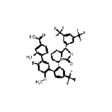 COc1cc(F)c(-c2ccc(C(=O)O)cc2C)cc1-c1ccc(C(F)(F)F)cc1[C@@H]1CCCC2[C@@H](c3cc(C(F)(F)F)cc(C(F)(F)F)c3)OC(=O)N21